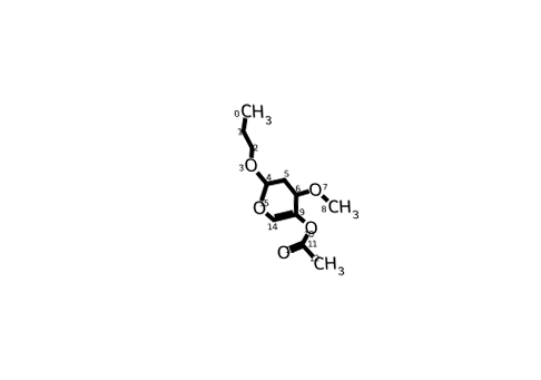 CCCOC1CC(OC)C(OC(C)=O)=CO1